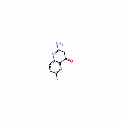 Cc1ccc2c(c1)C(=O)CC(N)=N2